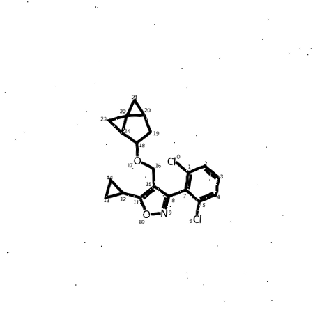 Clc1cccc(Cl)c1-c1noc(C2CC2)c1COC1CC2CC23CC13